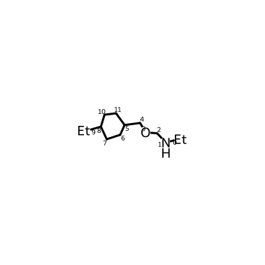 CCNCOCC1CCC(CC)CC1